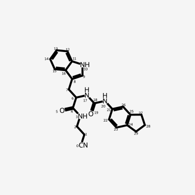 N#CCCNC(=O)C(Cc1c[nH]c2ccccc12)NC(=O)Nc1ccc2c(c1)CCC2